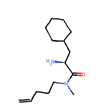 C=CCCCN(C)C(=O)[C@@H](N)CC1CCCCC1